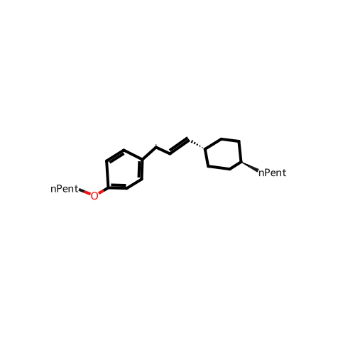 CCCCCOc1ccc([CH]/C=C/[C@H]2CC[C@H](CCCCC)CC2)cc1